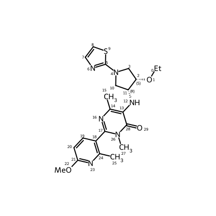 CCO[C@H]1CN(c2nccs2)C[C@H]1Nc1c(C)nc(-c2ccc(OC)nc2C)n(C)c1=O